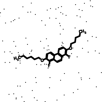 CCCCCCOc1ccc2c(ccc3c(F)c(OCCCCC)ccc32)c1F